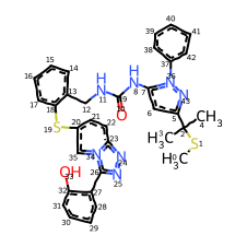 CSC(C)(C)c1cc(NC(=O)NCc2ccccc2Sc2ccc3nnc(-c4ccccc4O)n3c2)n(-c2ccccc2)n1